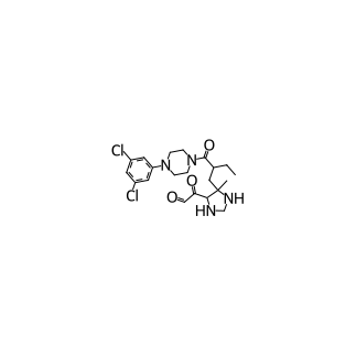 CCC(CC1(C)NCNC1C(=O)C=O)C(=O)N1CCN(c2cc(Cl)cc(Cl)c2)CC1